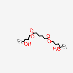 CCC(O)CCCOC(=O)CCCCC(=O)OCCCC(O)CC